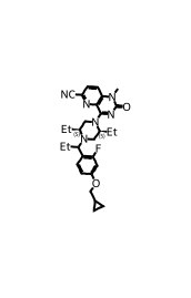 CCC(c1ccc(OCC2CC2)cc1F)N1C[C@H](CC)N(c2nc(=O)n(C)c3ccc(C#N)nc23)C[C@@H]1CC